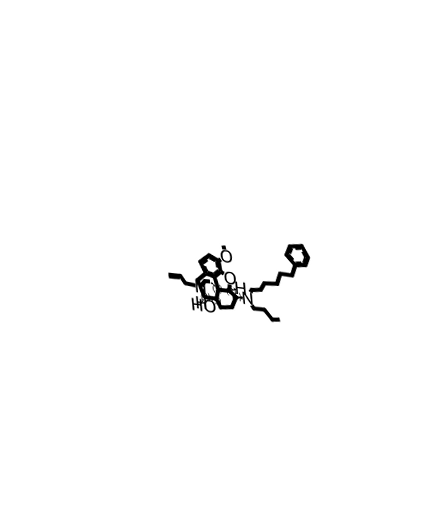 C=CCN1CC[C@]23c4c5ccc(OC)c4O[C@H]2[C@@H](N(CCCC)CCCCCCc2ccccc2)CC[C@@]3(O)[C@H]1C5